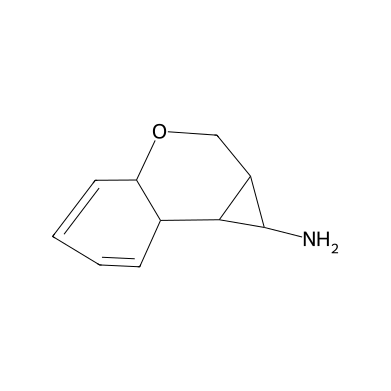 NC1C2COC3C=CC=CC3C12